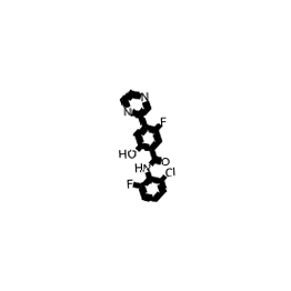 O=C(Nc1c(F)cccc1Cl)c1cc(F)c(-c2cnccn2)cc1O